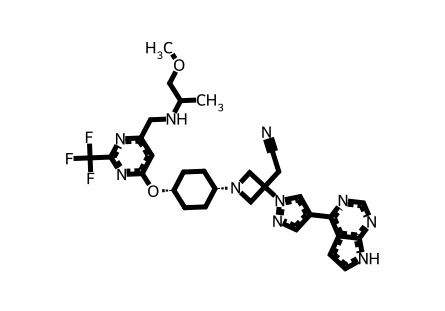 COCC(C)NCc1cc(O[C@H]2CC[C@@H](N3CC(CC#N)(n4cc(-c5ncnc6[nH]ccc56)cn4)C3)CC2)nc(C(F)(F)F)n1